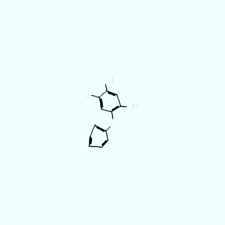 Cc1cc(C)c(Oc2ccccc2)cc1Br